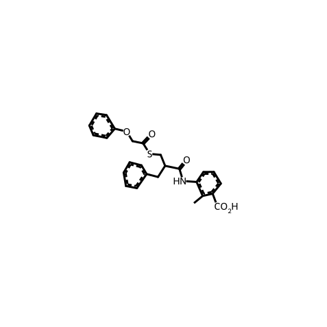 Cc1c(NC(=O)C(CSC(=O)COc2ccccc2)Cc2ccccc2)cccc1C(=O)O